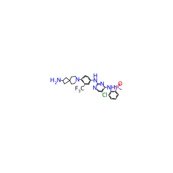 CP(C)(=O)c1ccccc1Nc1nc(Nc2ccc(N3CCC4(CC3)CC(N)C4)c(C(F)(F)F)c2)ncc1Cl